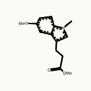 COC(=O)CCc1cn(C)c2ccc(OC)cc12